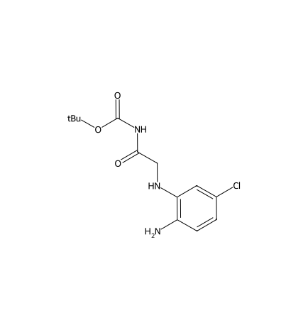 CC(C)(C)OC(=O)NC(=O)CNc1cc(Cl)ccc1N